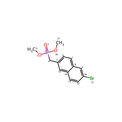 COP(=O)(Cc1ccc2cc(Br)ccc2c1)OC